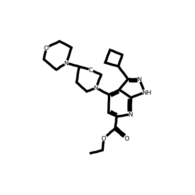 CCOC(=O)c1cc(N2CCC(N3CCOCC3)CC2)c2c(C3CCC3)n[nH]c2n1